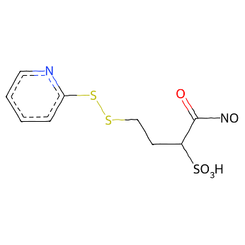 O=NC(=O)C(CCSSc1ccccn1)S(=O)(=O)O